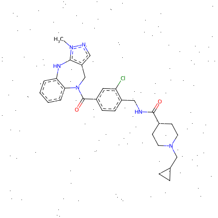 Cn1ncc2c1Nc1ccccc1N(C(=O)c1ccc(CNC(=O)C3CCN(CC4CC4)CC3)c(Cl)c1)C2